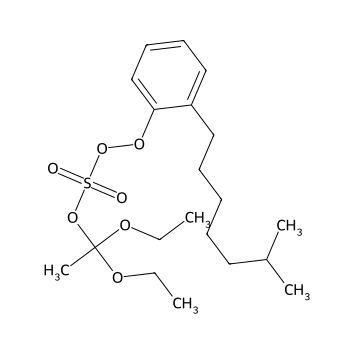 CCOC(C)(OCC)OS(=O)(=O)OOc1ccccc1CCCCCC(C)C